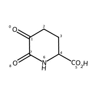 O=C1CCC(C(=O)O)NC1=O